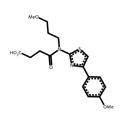 COCCCN(C(=O)CCC(=O)O)c1nc(-c2ccc(OC)cc2)cs1